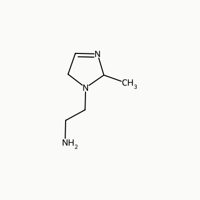 CC1N=CCN1CCN